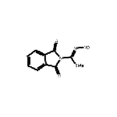 CSC(=NN=O)N1C(=O)c2ccccc2C1=O